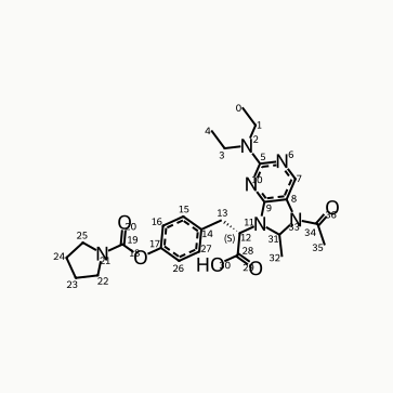 CCN(CC)c1ncc2c(n1)N([C@@H](Cc1ccc(OC(=O)N3CCCC3)cc1)C(=O)O)C(C)N2C(C)=O